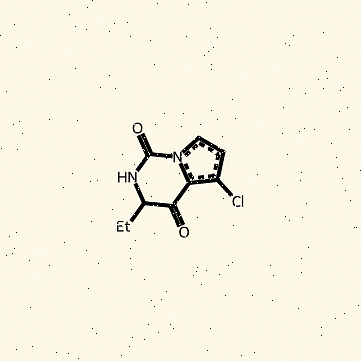 CCC1NC(=O)n2ccc(Cl)c2C1=O